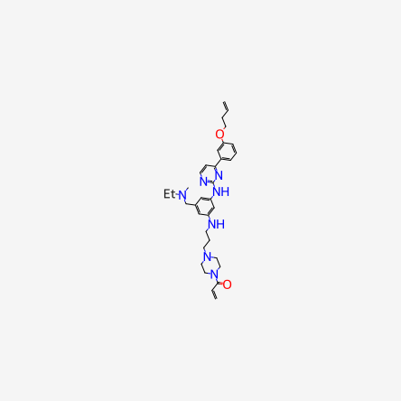 C=CCCOc1cccc(-c2ccnc(Nc3cc(CN(C)CC)cc(NCCCN4CCN(C(=O)C=C)CC4)c3)n2)c1